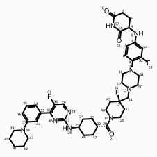 O=C1CCC(Nc2ccc(N3CCN(CC4(F)CCN(C(=O)[C@H]5CC[C@H](Nc6ncc(F)c(-c7cccc(N8CCCCC8)c7)n6)CC5)CC4)CC3)c(F)c2)C(=O)N1